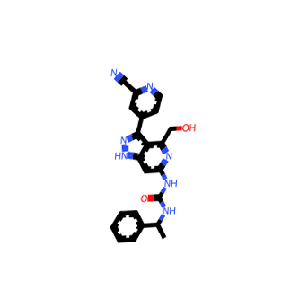 CC(NC(=O)Nc1cc2[nH]nc(-c3ccnc(C#N)c3)c2c(CO)n1)c1ccccc1